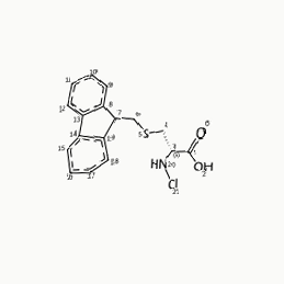 O=C(O)[C@@H](CSCC1c2ccccc2-c2ccccc21)NCl